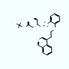 CC(C)(C)OC(=O)C[C@@H](C=O)NS(=O)(=O)c1ccccc1OCCc1cncc2ccccc12